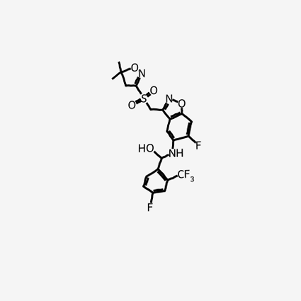 CC1(C)CC(S(=O)(=O)Cc2noc3cc(F)c(NC(O)c4ccc(F)cc4C(F)(F)F)cc23)=NO1